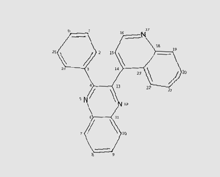 c1ccc(-c2nc3ccccc3nc2-c2ccnc3ccccc23)cc1